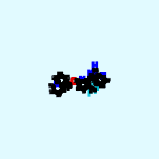 FC(F)(F)c1ccc(OC[C@@H]2CCCN3CCCC[C@@H]23)nc1-c1n[nH]c2ncccc12